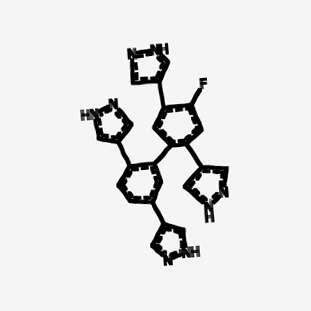 Fc1cc(-c2cn[nH]c2)c(-c2cc(-c3cn[nH]c3)ccc2-c2cn[nH]c2)cc1-c1cn[nH]c1